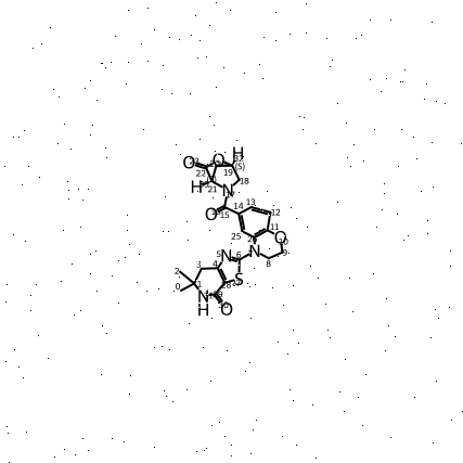 CC1(C)Cc2nc(N3CCOc4ccc(C(=O)N5C[C@@H]6C[C@H]5C(=O)O6)cc43)sc2C(=O)N1